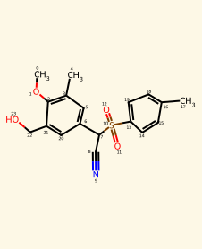 COc1c(C)cc(C(C#N)S(=O)(=O)c2ccc(C)cc2)cc1CO